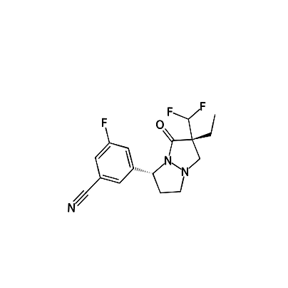 CC[C@@]1(C(F)F)CN2CC[C@H](c3cc(F)cc(C#N)c3)N2C1=O